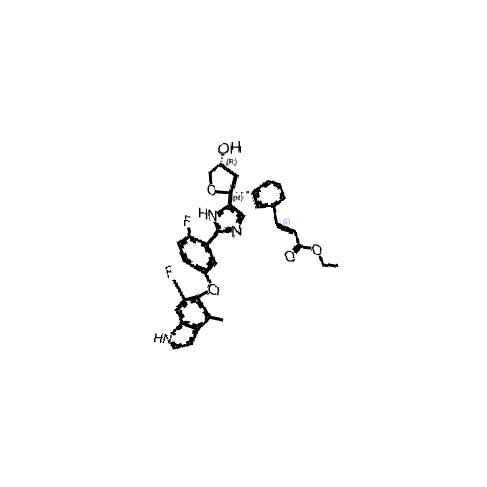 CCOC(=O)/C=C/c1cccc([C@@]2(c3cnc(-c4cc(Oc5c(F)cc6[nH]ccc6c5C)ccc4F)[nH]3)C[C@@H](O)CO2)c1